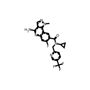 Cn1ncc2c(N)nc3cc(F)c(C(=O)N(Cc4ccc(C(F)(F)F)cn4)C4CC4)cc3c21